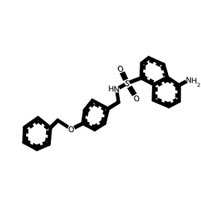 Nc1cccc2c(S(=O)(=O)NCc3ccc(OCc4ccccc4)cc3)cccc12